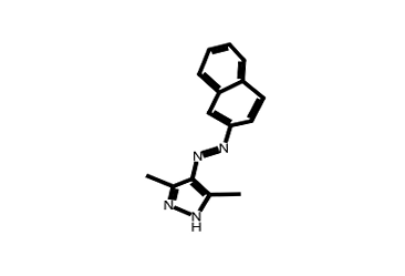 Cc1n[nH]c(C)c1N=Nc1ccc2ccccc2c1